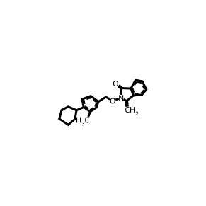 C=C1c2ccccc2C(=O)N1OCc1ccc(C2CCCCC2)c(C)c1